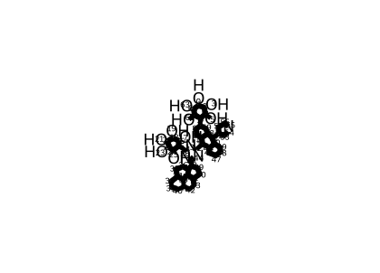 Oc1c(O)c(O)c(-c2ccc3c(-c4nc(-c5c(O)c(O)c(O)c(O)c5O)nc(-c5ccc6c7c8c(ccc57)=CC=CC8CC=6)n4)c4ccccc4c(-c4ccncc4)c3c2)c(O)c1O